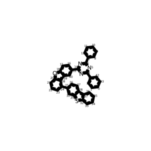 c1ccc(-c2nc(-c3ccccc3)nc(-c3ccc4oc5cccc(-c6ccc7c(c6)sc6ccccc67)c5c4c3)n2)cc1